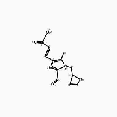 Cc1c(/C=C/C(=O)O)nc(C=O)n1C[C@@H]1CCO1